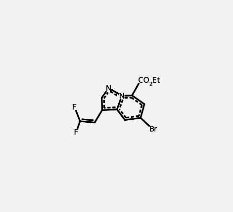 CCOC(=O)c1cc(Br)cc2c(C=C(F)F)cnn12